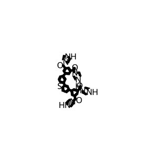 O=C(c1cc(C(=O)N2CCNCC2)cc(-c2ccc3sc4ccc(-c5cc(C(=O)N6CCNCC6)cc(C(=O)N6CCNCC6)c5)cc4c3c2)c1)N1CCNCC1